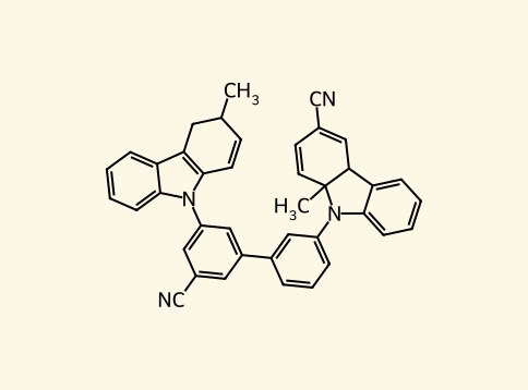 CC1C=Cc2c(c3ccccc3n2-c2cc(C#N)cc(-c3cccc(N4c5ccccc5C5C=C(C#N)C=CC54C)c3)c2)C1